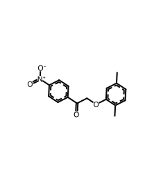 Cc1ccc(C)c(OCC(=O)c2ccc([N+](=O)[O-])cc2)c1